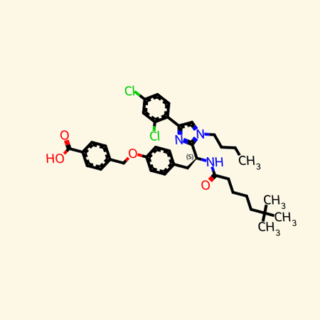 CCCCn1cc(-c2ccc(Cl)cc2Cl)nc1[C@H](Cc1ccc(OCc2ccc(C(=O)O)cc2)cc1)NC(=O)CCCCC(C)(C)C